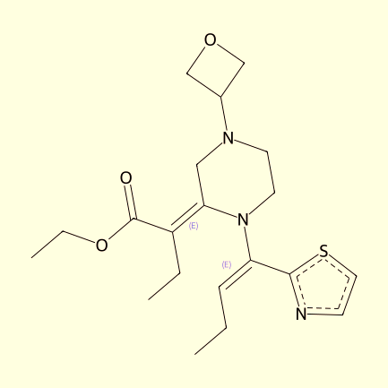 CC/C=C(\c1nccs1)N1CCN(C2COC2)C/C1=C(/CC)C(=O)OCC